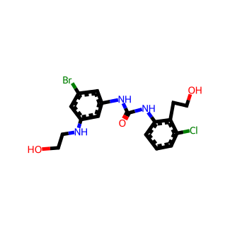 O=C(Nc1cc(Br)cc(NCCO)c1)Nc1cccc(Cl)c1CCO